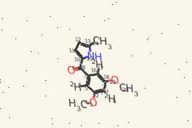 [2H]c1c(OC)c([2H])c(C(=O)c2ccc(C)[nH]2)c([2H])c1OC